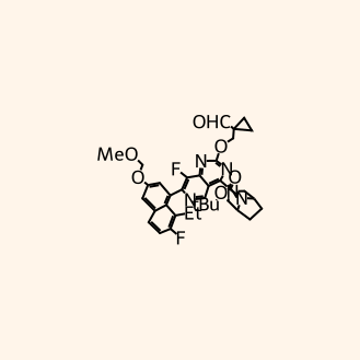 CCc1c(F)ccc2cc(OCOC)cc(-c3ncc4c(N5CC6CCC(C5)N6C(=O)OC(C)(C)C)nc(OCC5(C=O)CC5)nc4c3F)c12